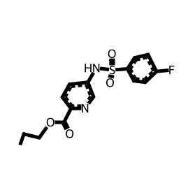 CCCOC(=O)c1ccc(NS(=O)(=O)c2ccc(F)cc2)cn1